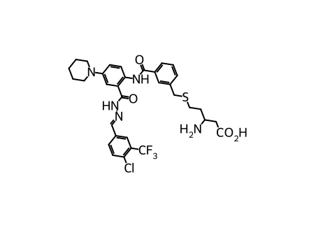 NC(CCSCc1cccc(C(=O)Nc2ccc(N3CCCCC3)cc2C(=O)NN=Cc2ccc(Cl)c(C(F)(F)F)c2)c1)CC(=O)O